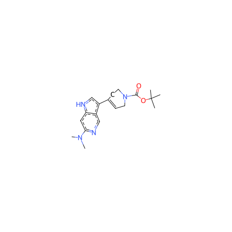 CN(C)c1cc2[nH]cc(C3=CCN(C(=O)OC(C)(C)C)CC3)c2cn1